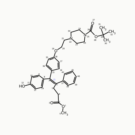 COC(=O)CC/C(=C(\c1ccc(O)cc1)c1ccc(OCCN2CCN(C(=O)OC(C)(C)C)CC2)cc1)c1ccccc1